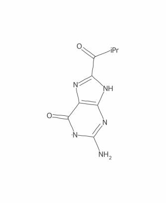 CC(C)C(=O)c1nc2c([nH]1)N=C(N)[N]C2=O